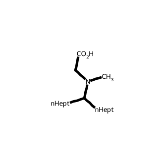 CCCCCCCC(CCCCCCC)N(C)CC(=O)O